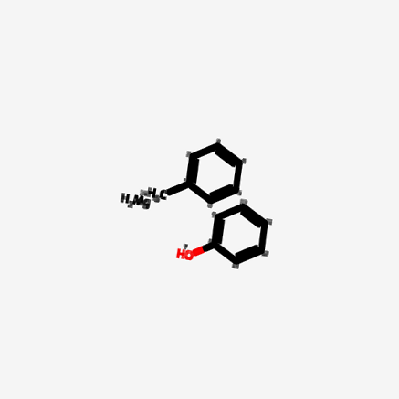 Cc1ccccc1.Oc1ccccc1.[MgH2]